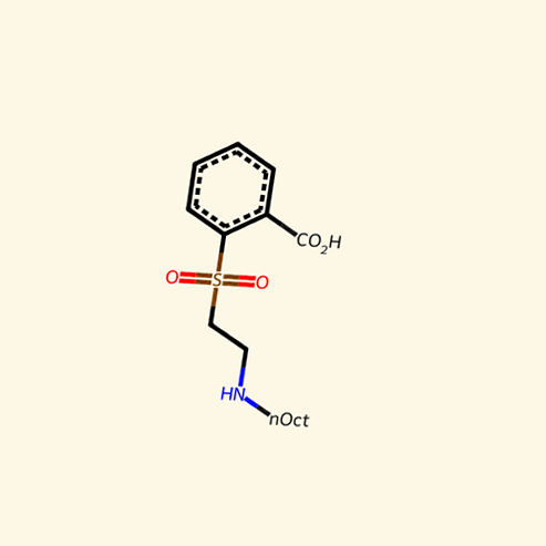 CCCCCCCCNCCS(=O)(=O)c1ccccc1C(=O)O